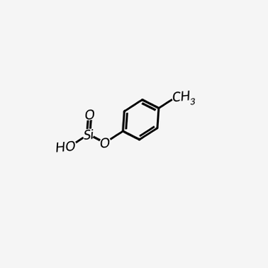 Cc1ccc(O[Si](=O)O)cc1